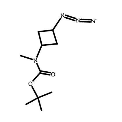 CN(C(=O)OC(C)(C)C)C1CC(N=[N+]=[N-])C1